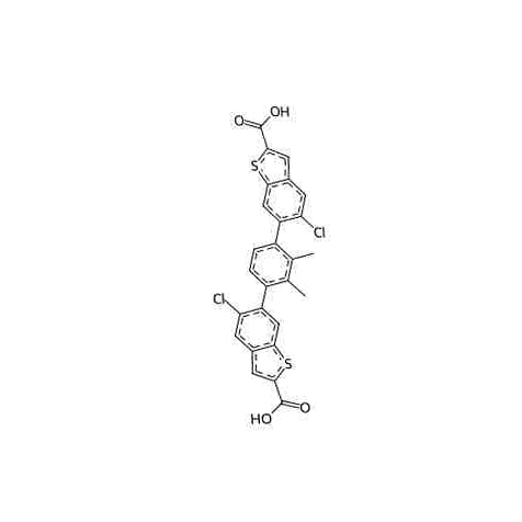 Cc1c(-c2cc3sc(C(=O)O)cc3cc2Cl)ccc(-c2cc3sc(C(=O)O)cc3cc2Cl)c1C